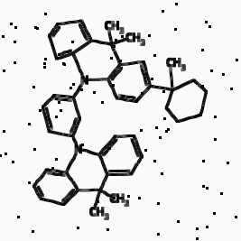 CC1(c2ccc3c(c2)C(C)(C)c2ccccc2N3c2cccc(N3c4ccccc4C(C)(C)c4ccccc43)c2)CCCCC1